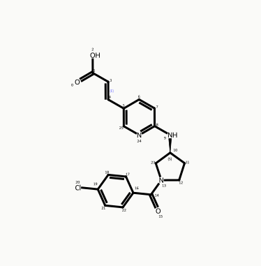 O=C(O)/C=C/c1ccc(N[C@H]2CCN(C(=O)c3ccc(Cl)cc3)C2)nc1